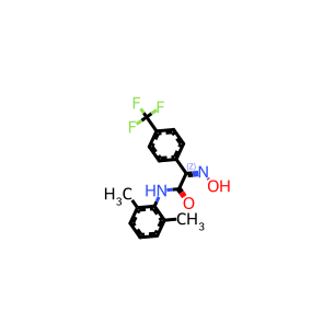 Cc1cccc(C)c1NC(=O)/C(=N\O)c1ccc(C(F)(F)F)cc1